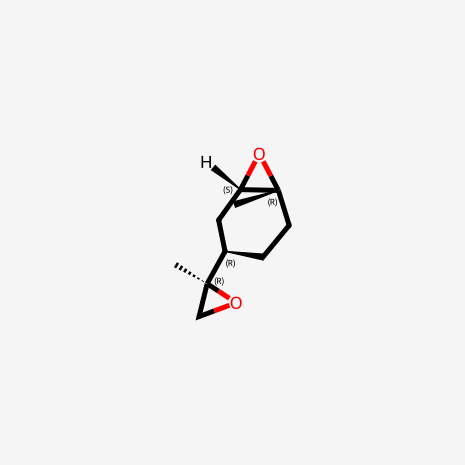 C[C@@]12CC[C@@H]([C@]3(C)CO3)C[C@@H]1O2